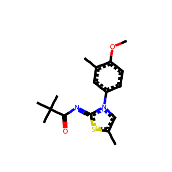 COc1ccc(-n2cc(C)s/c2=N\C(=O)C(C)(C)C)cc1C